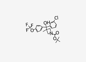 CC(C)(C)OC(=O)N1CC(C)(C(O)(c2ccc(OC(F)(F)F)cc2)c2cccc(Cl)c2)C1